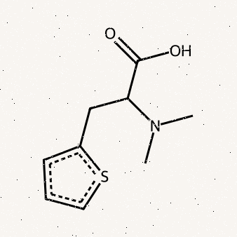 CN(C)C(Cc1cccs1)C(=O)O